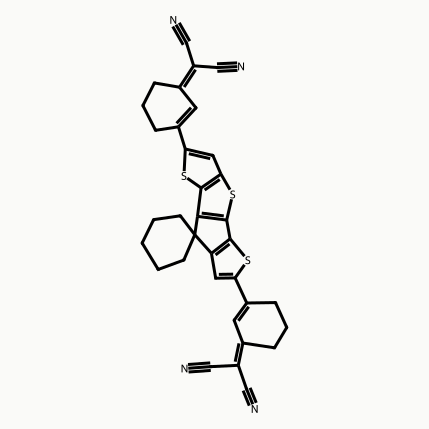 N#CC(C#N)=C1C=C(c2cc3c(s2)-c2sc4cc(C5=CC(=C(C#N)C#N)CCC5)sc4c2C32CCCCC2)CCC1